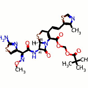 CON=C(C(=O)N[C@@H]1C(=O)N2C(C(=O)OCOC(=O)C(C)(C)C)=C(C=Cc3scnc3C)CS[C@H]12)c1csc(N)n1